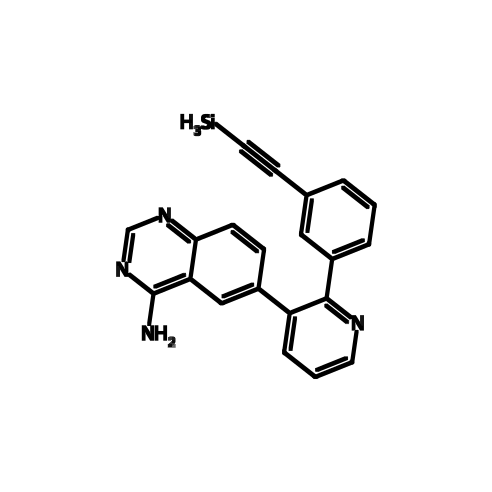 Nc1ncnc2ccc(-c3cccnc3-c3cccc(C#C[SiH3])c3)cc12